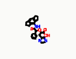 O=C(O)C(Cc1cnccn1)OC(C(=O)Nc1c2c(cc3c1CCC3)CCC2)c1ccccc1